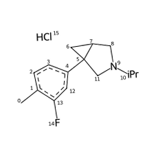 Cc1ccc(C23CC2CN(C(C)C)C3)cc1F.Cl